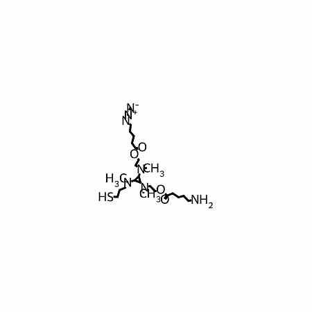 CN(CCCS)C1C(N(C)CCOC(=O)CCCCN)C1N(C)CCOC(=O)CCCCN=[N+]=[N-]